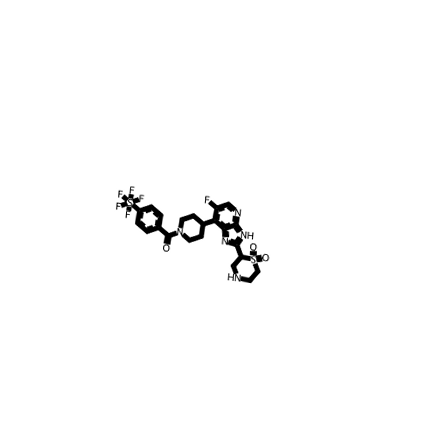 O=C(c1ccc(S(F)(F)(F)(F)F)cc1)N1CCC(c2c(F)cnc3[nH]c(C4CNCCS4(=O)=O)nc23)CC1